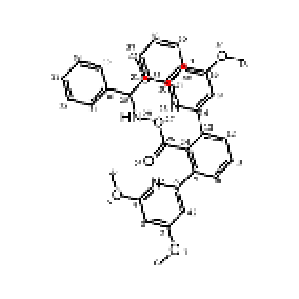 COc1cc(OC)nc(-c2cccc(-c3cc(OC)cc(OC)n3)c2C(=O)ONC(c2ccccc2)c2ccccc2)c1